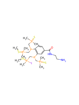 C=S=P(C)(C)CP(CP(C)(C)=S)c1ccc(C(=O)NCCN)cc1P(CP(C)(C)=S)CP(C)(I)=S=C